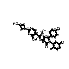 Cc1ccc(Cl)cc1N1C(=O)c2nc(-c3cnc(N4CC(O)C4)nc3O)n(C(C)C)c2C1c1ccc(Cl)cc1